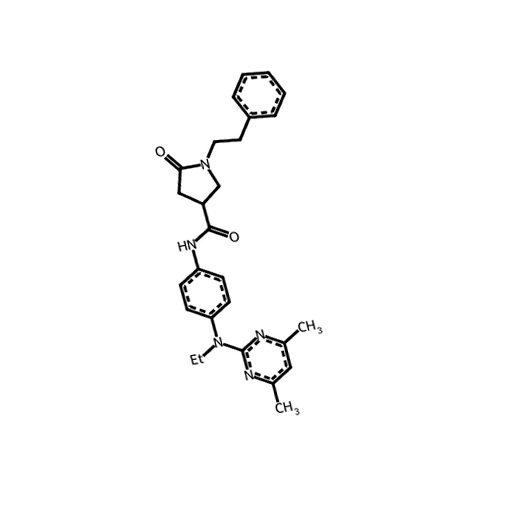 CCN(c1ccc(NC(=O)C2CC(=O)N(CCc3ccccc3)C2)cc1)c1nc(C)cc(C)n1